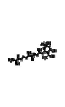 CC(=O)C1(O)CC(O)C([C@@H](C)O)C(C[C@H](O)COC(=O)[C@H](N)CCCNC(=N)N)O1